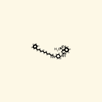 CN(C)c1nc(N[C@H]2CC[C@@H](NCCCCCCCCCCc3ccccc3)CC2)nc2ccccc12